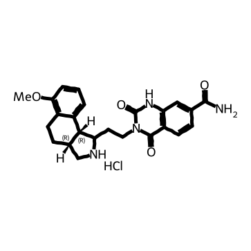 COc1cccc2c1CC[C@H]1CNC(CCn3c(=O)[nH]c4cc(C(N)=O)ccc4c3=O)[C@@H]21.Cl